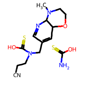 CN1CCOC2C=C(CN(CCC#N)C(O)=S)C=NC21.NC(O)=S